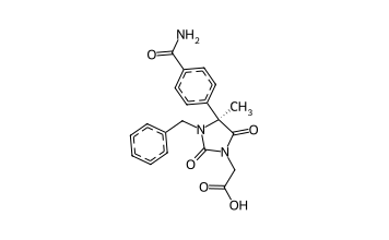 C[C@]1(c2ccc(C(N)=O)cc2)C(=O)N(CC(=O)O)C(=O)N1Cc1ccccc1